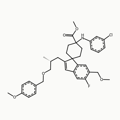 COCc1cc2c(cc1F)C=C(C[C@@H](C)COCc1ccc(OC)cc1)C21CCC(Nc2cccc(Cl)c2)(C(=O)OC)CC1